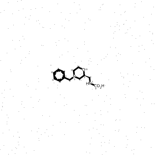 O=C(O)NC[C@H]1CN(Cc2ccccc2)CCO1